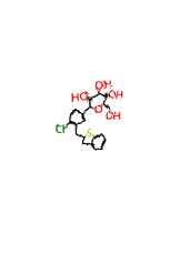 OCC1OC(c2ccc(Cl)c(CC3Cc4ccccc4S3)c2)[C@H](O)C(O)[C@@H]1O